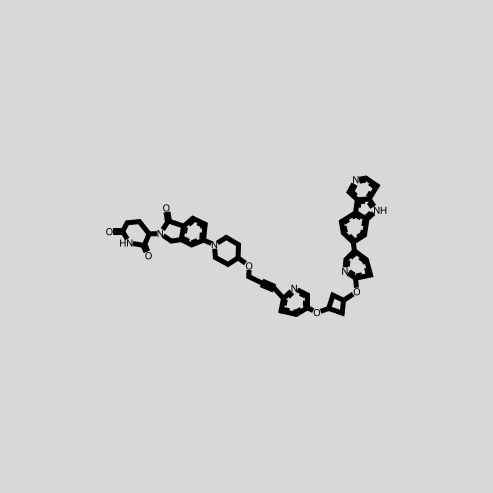 O=C1CCC(N2Cc3cc(N4CCC(OCC#Cc5ccc(OC6CC(Oc7ccc(-c8ccc9c(c8)[nH]c8ccncc89)cn7)C6)cn5)CC4)ccc3C2=O)C(=O)N1